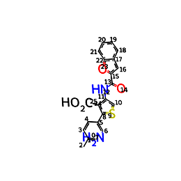 C=C(C)/C=C\C(=C/N)c1scc(NC(=O)c2cc3ccccc3o2)c1C(=O)O